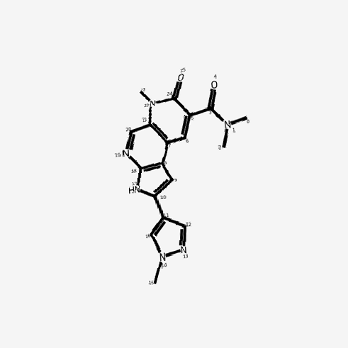 CN(C)C(=O)c1cc2c3cc(-c4cnn(C)c4)[nH]c3ncc2n(C)c1=O